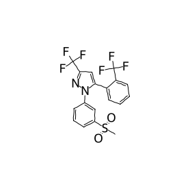 CS(=O)(=O)c1cccc(-n2nc(C(F)(F)F)cc2-c2ccccc2C(F)(F)F)c1